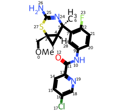 COC[C@]12C[C@H]1[C@](C)(c1cc(NC(=O)c3ccc(Cl)cn3)ccc1F)N=C(N)S2